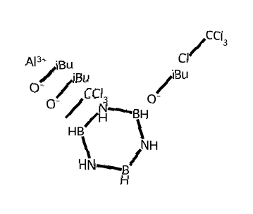 B1NBNBN1.CC(Cl)(Cl)Cl.CCC(C)[O-].CCC(C)[O-].CCC(C)[O-].ClC(Cl)(Cl)Cl.[Al+3]